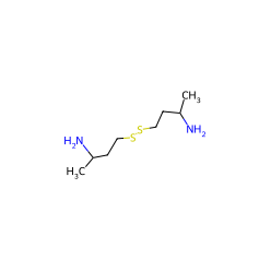 CC(N)CCSSCCC(C)N